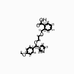 COc1ccc(C(OCCOCc2ccccc2C(=O)O)n2ccnc2)cc1